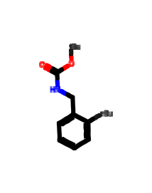 CCCCc1ccccc1CNC(=O)OC(C)(C)C